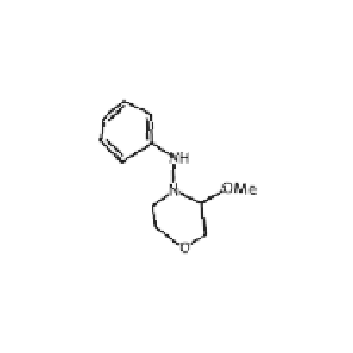 COC1COCCN1Nc1ccccc1